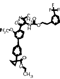 CCOC(=O)C1(c2ccc(-c3ccc(-c4onc(C)c4NC(=O)OCCc4cccc(C(F)(F)F)c4)c(OC)c3)cc2)CC1